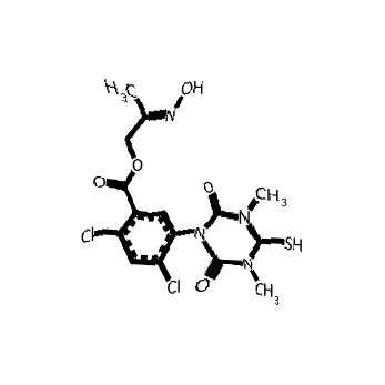 CC(COC(=O)c1cc(N2C(=O)N(C)C(S)N(C)C2=O)c(Cl)cc1Cl)=NO